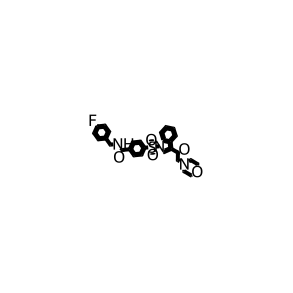 O=C(NCc1ccc(F)cc1)c1ccc(S(=O)(=O)n2cc(C(=O)CN3CCOCC3)c3ccccc32)cc1